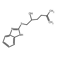 C=C(C)CCC(O)CSc1nc2ccccc2[nH]1